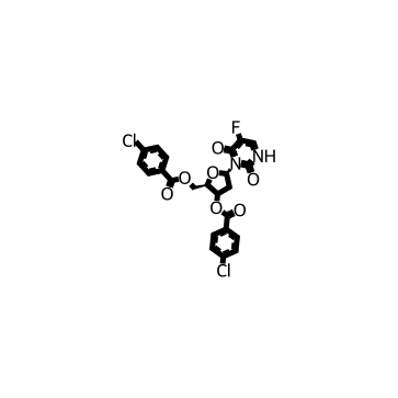 O=C(OC[C@H]1O[C@@H](n2c(=O)[nH]cc(F)c2=O)CC1OC(=O)c1ccc(Cl)cc1)c1ccc(Cl)cc1